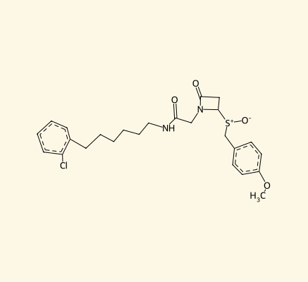 COc1ccc(C[S+]([O-])C2CC(=O)N2CC(=O)NCCCCCCc2ccccc2Cl)cc1